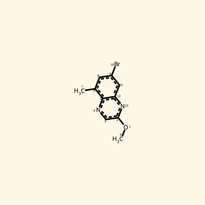 COc1cnc2c(C)cc(Br)cc2n1